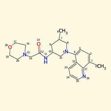 Cc1ccc(N2CC(C)CC(NC(=O)CN3CCOCC3)C2)c2cccnc12